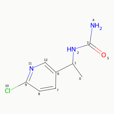 CC(NC(N)=O)c1ccc(Cl)nc1